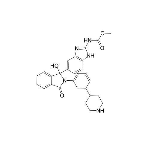 COC(=O)Nc1nc2cc(C3(O)c4ccccc4C(=O)N3c3cccc(C4CCNCC4)c3)ccc2[nH]1